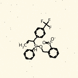 C=CC(c1ccc(C(F)(F)F)cc1)[SiH](OCc1ccccc1[N+](=O)[O-])c1ccccc1